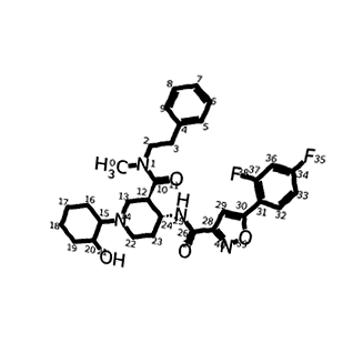 CN(CCc1ccccc1)C(=O)[C@@H]1CN(C2CCCCC2O)CC[C@H]1NC(=O)c1cc(-c2ccc(F)cc2F)on1